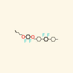 C=CCCCOc1ccc(OCC2CCC(c3ccc(C4CCC(C)CC4)c(F)c3F)CC2)c(F)c1F